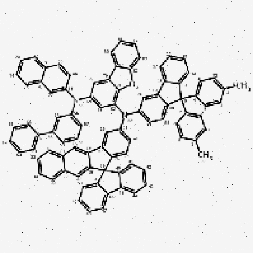 Cc1ccc(C2(c3ccc(C)cc3)c3ccccc3-c3cc(N(c4ccc5c(c4)-c4cc6ccccc6cc4C54c5ccccc5-c5ccccc54)c4cc(N(c5cccc(-c6ccccc6)c5)c5ccc6ccccc6c5)cc5c4oc4ccccc45)ccc32)cc1